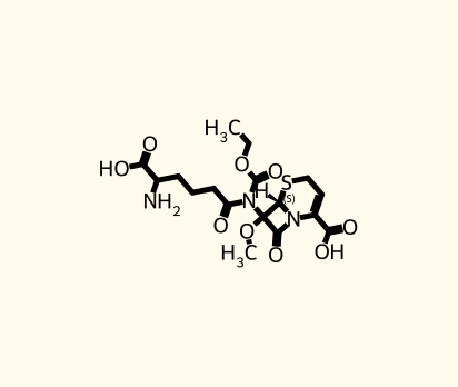 CCOC(=O)N(C(=O)CCCC(N)C(=O)O)C1(OC)C(=O)N2C(C(=O)O)=CCS[C@H]21